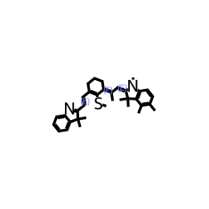 CSC1=C(/C=C/C2=Nc3ccccc3C2(C)C)CCC/C1=C(C)\C=C1\N(C)c2ccc(C)c(C)c2C1(C)C